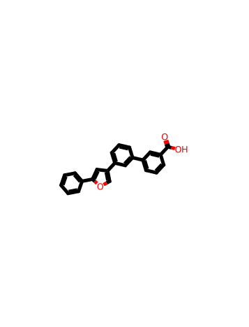 O=C(O)c1cccc(-c2cccc(-c3coc(-c4ccccc4)c3)c2)c1